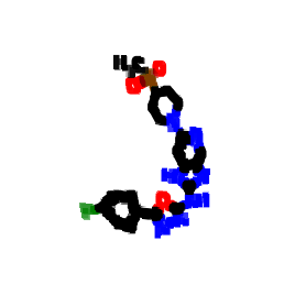 CS(=O)(=O)C1CCN(c2cc3[nH]c(Nc4nnc(-c5ccc(F)cc5)o4)nc3cn2)CC1